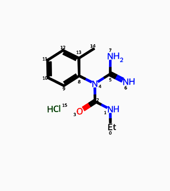 CCNC(=O)N(C(=N)N)c1ccccc1C.Cl